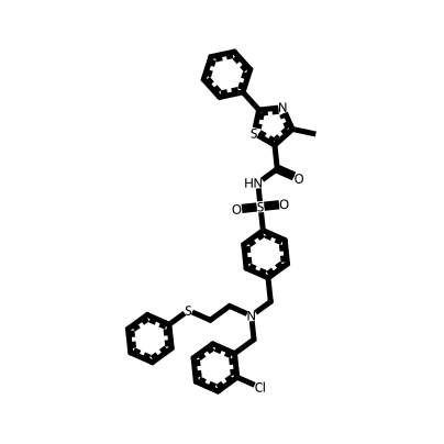 Cc1nc(-c2ccccc2)sc1C(=O)NS(=O)(=O)c1ccc(CN(CCSc2ccccc2)Cc2ccccc2Cl)cc1